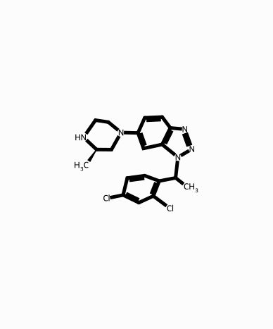 CC(c1ccc(Cl)cc1Cl)n1nnc2ccc(N3CCN[C@H](C)C3)cc21